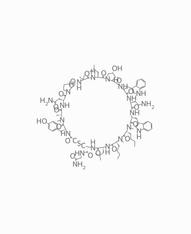 CCCC[C@H]1C(=O)N(C)[C@@H](CCCC)C(=O)N[C@@H](CC(C)C)C(=O)N[C@H](C(=O)NCC(N)=O)CSCC(=O)N[C@@H](Cc2ccc(O)cc2)C(=O)N(C)[C@@H](C)C(=O)N[C@@H](CC(N)=O)C(=O)N2CCC[C@H]2C(=O)NC(C)(C)C(=O)N[C@@H](CC(C)C)C(=O)N2C[C@H](O)C[C@H]2C(=O)NC(Cc2c[nH]c3ccccc23)C(=O)N[C@@H](CCN)C(=O)N[C@@H](Cc2c[nH]c3ccccc23)C(=O)N1C